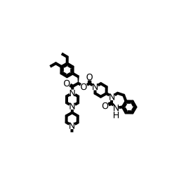 CCc1ccc(C[C@@H](OC(=O)N2CCC(N3CCc4ccccc4NC3=O)CC2)C(=O)N2CCN(C3CCN(C)CC3)CC2)cc1CC